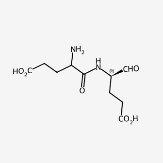 NC(CCC(=O)O)C(=O)N[C@@H](C=O)CCC(=O)O